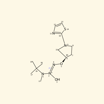 CN(/[N+](O)=N/O[C@@H]1CCN(c2nccs2)C1)C(C)(C)C